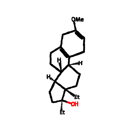 CC[C@]1(O)CC[C@H]2[C@@H]3CCC4=C(CC=C(OC)C4)[C@H]3CC[C@@]21CC